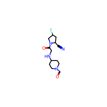 N#CC1CC(F)CN1C(=O)CNC1CCN(C=O)CC1